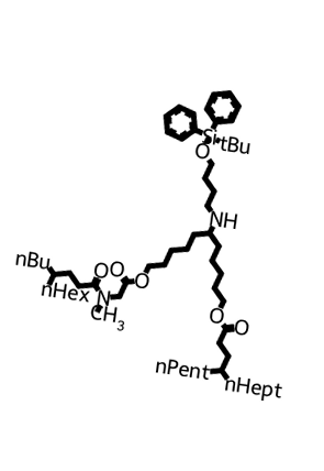 CCCCCCCC(CCCCC)CCC(=O)OCCCCCC(CCCCCOC(=O)CN(C)C(=O)CCC(CCCC)CCCCCC)NCCCCO[Si](c1ccccc1)(c1ccccc1)C(C)(C)C